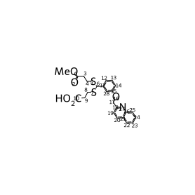 COC(=O)CCSC(SCCC(=O)O)c1cccc(OCc2ccc3ccccc3n2)c1